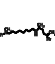 C=C(CCC(=C)C(C)C)NCCCCCCCCN(C)C(C)C